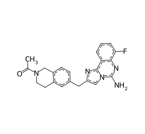 CC(=O)N1CCc2cc(Cc3cn4c(N)nc5c(F)cccc5c4n3)ccc2C1